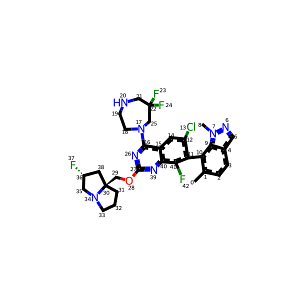 Cc1ccc2cnn(C)c2c1-c1c(Cl)cc2c(N3CCNCC(F)(F)C3)nc(OC[C@@]34CCCN3C[C@H](F)C4)nc2c1F